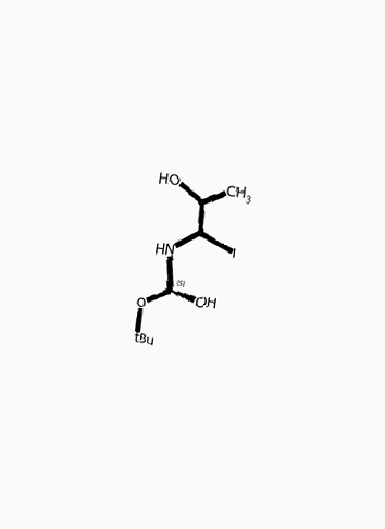 CC(O)C(I)N[C@@H](O)OC(C)(C)C